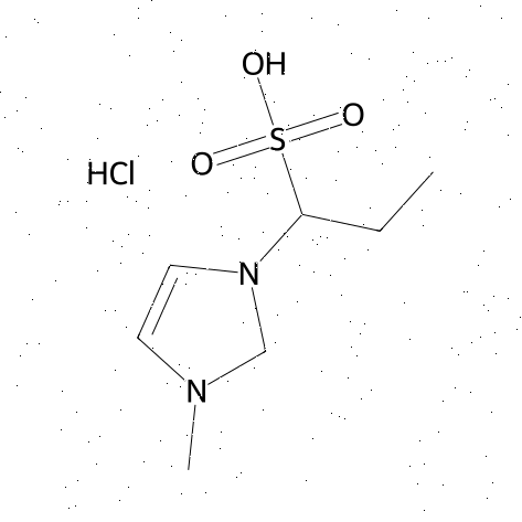 CCC(N1C=CN(C)C1)S(=O)(=O)O.Cl